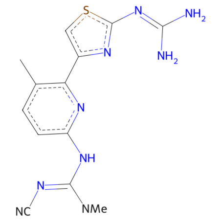 CNC(=NC#N)Nc1ccc(C)c(-c2csc(N=C(N)N)n2)n1